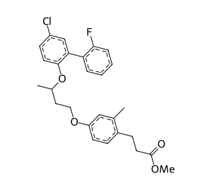 COC(=O)CCc1ccc(OCCC(C)Oc2ccc(Cl)cc2-c2ccccc2F)cc1C